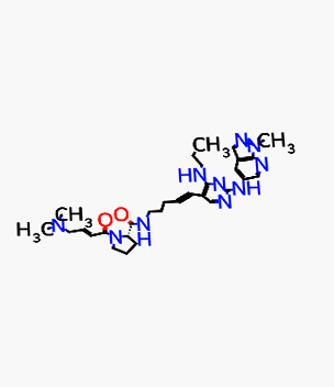 CCCNc1nc(Nc2cnc3c(cnn3C)c2)ncc1C#CCCCNC(=O)[C@@H]1CCCN1C(=O)/C=C/CN(C)C